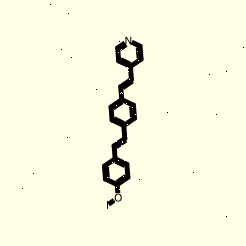 IOc1ccc(C=Cc2ccc(C=Cc3ccncc3)cc2)cc1